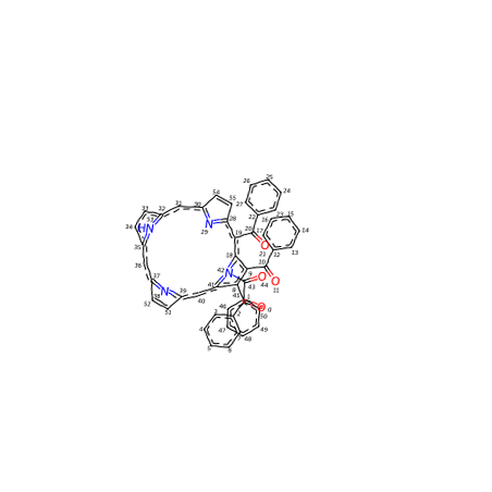 O=C(c1ccccc1)c1c(C(=O)c2ccccc2)c2c(C(=O)c3ccccc3)c3nc(cc4ccc(cc5nc(cc1n2C(=O)c1ccccc1)C=C5)[nH]4)C=C3